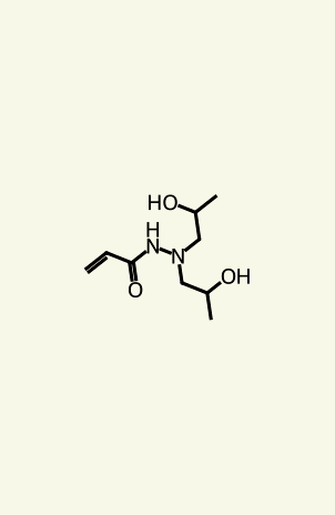 C=CC(=O)NN(CC(C)O)CC(C)O